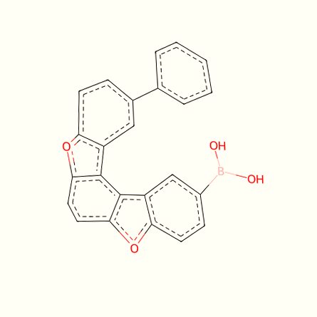 OB(O)c1ccc2oc3ccc4oc5ccc(-c6ccccc6)cc5c4c3c2c1